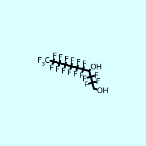 OCC(F)(F)C(F)(F)C(O)C(F)(F)C(F)(F)C(F)(F)C(F)(F)C(F)(F)C(F)(F)C(F)(F)F